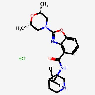 C[C@@H]1CN(c2nc3c(C(=O)N[C@@H]4CN5CCC4CC5)cccc3o2)C[C@H](C)O1.Cl